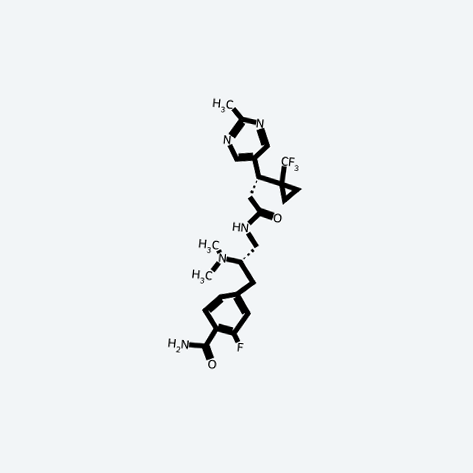 Cc1ncc([C@@H](CC(=O)NC[C@H](Cc2ccc(C(N)=O)c(F)c2)N(C)C)C2(C(F)(F)F)CC2)cn1